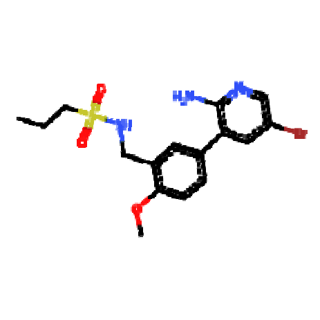 CCCS(=O)(=O)NCc1cc(-c2cc(Br)cnc2N)ccc1OC